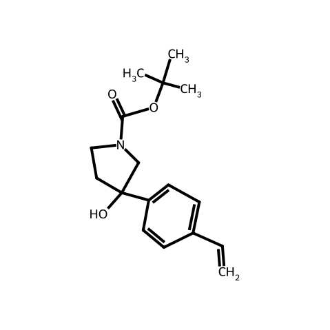 C=Cc1ccc(C2(O)CCN(C(=O)OC(C)(C)C)C2)cc1